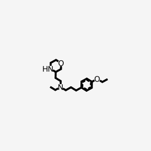 CCOc1ccc(CCCN(CC)CCC2COCCN2)cc1